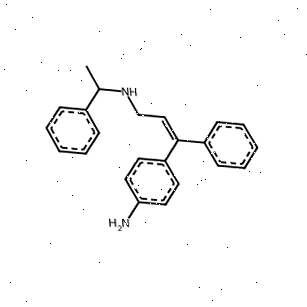 CC(NC/C=C(/c1ccccc1)c1ccc(N)cc1)c1ccccc1